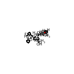 CC[C@H](NC(=O)[C@@H]1C[C@@](C)(CC(=O)O)c2ncc(N(Cc3cccc(C(F)(F)F)c3)C(=O)OCc3ccccc3)c(=O)n21)B1O[C@@H]2C[C@@H]3C[C@@H](C3(C)C)[C@]2(C)O1